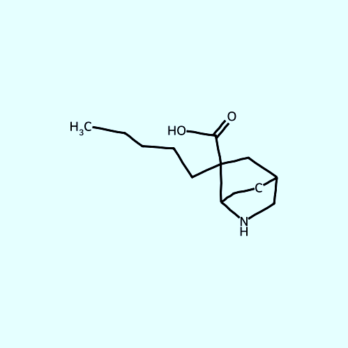 CCCCCC1(C(=O)O)CC2CCC1NC2